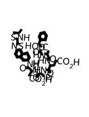 CC1CSC(c2nc3ccc4cc(NC(=O)C(CC(=O)O)NC(=O)C(NC(=O)C(CCC(=O)O)NC(=O)C(CC(=O)O)NC(=O)OCc5ccccc5)C(C)C)ccc4c3s2)N1